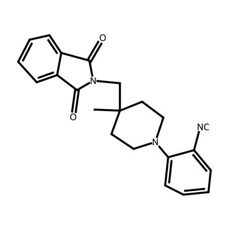 [C-]#[N+]c1ccccc1N1CCC(C)(CN2C(=O)c3ccccc3C2=O)CC1